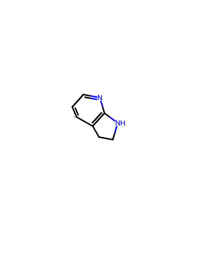 [c]1ccnc2c1CCN2